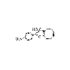 O=C(O)N1CCC=CCCC1OOc1ccc([N+](=O)[O-])cc1